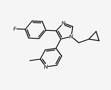 Cc1cc(-c2c(-c3ccc(F)cc3)ncn2CC2CC2)ccn1